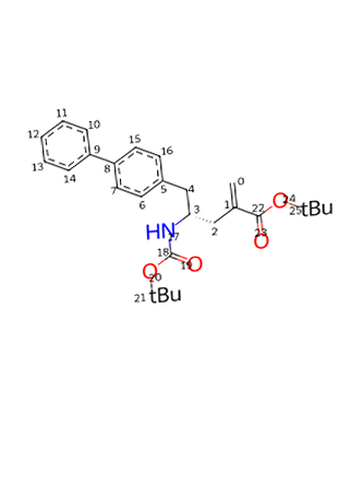 C=C(C[C@@H](Cc1ccc(-c2ccccc2)cc1)NC(=O)OC(C)(C)C)C(=O)OC(C)(C)C